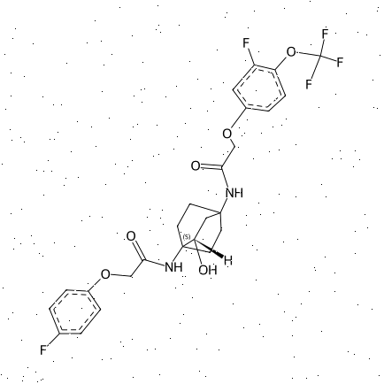 O=C(COc1ccc(OC(F)(F)F)c(F)c1)NC12CCC(NC(=O)COc3ccc(F)cc3)(CC1)[C@@H](O)C2